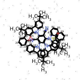 CC(C)(C)c1ccc2c(c1)c1cc(C(C)(C)C)c3c4ccccc4oc3c1n2-c1c(C#N)c(-n2c3ccccc3c3ccccc32)c(-n2c3ccc(C(C)(C)C)cc3c3cc(C(C)(C)C)c4c5ccccc5sc4c32)c(-n2c3ccccc3c3ccccc32)c1C#N